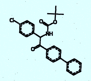 CC(C)(C)OC(=O)NC(C(=O)c1ccc(-c2ccccc2)cc1)c1ccc(Cl)cc1